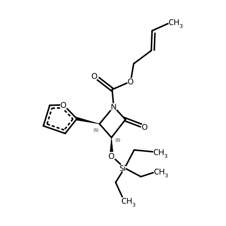 CC=CCOC(=O)N1C(=O)[C@@H](O[Si](CC)(CC)CC)[C@H]1c1ccco1